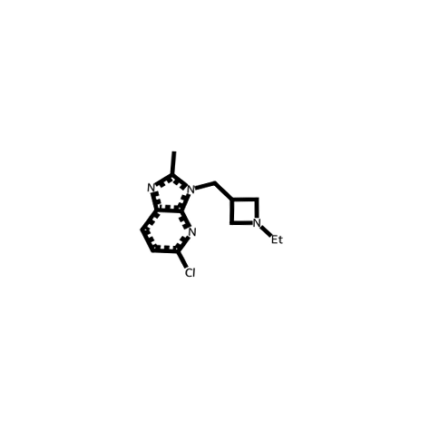 CCN1CC(Cn2c(C)nc3ccc(Cl)nc32)C1